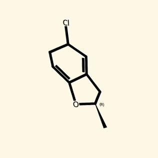 C[C@@H]1CC2=CC(Cl)CC=C2O1